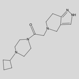 O=C(CN1CCc2n[nH]cc2C1)N1CCN(C2CCC2)CC1